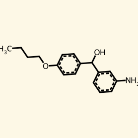 CCCCOc1ccc(C(O)c2cccc(N)c2)cc1